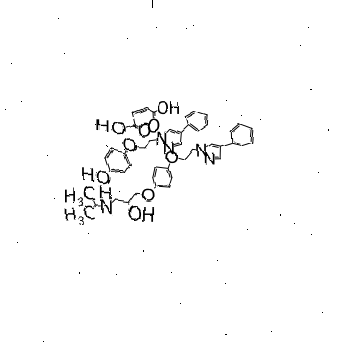 CC(C)NCC(O)COc1ccc(OCCn2cc(-c3ccccc3)cn2)cc1.O=C(O)/C=C\C(=O)O.Oc1ccc(OCCn2cc(-c3ccccc3)cn2)cc1